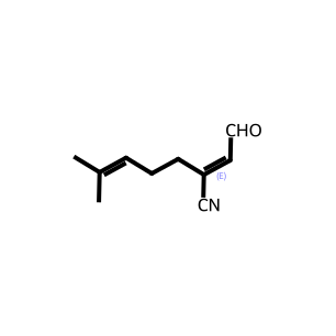 CC(C)=CCC/C(C#N)=C\C=O